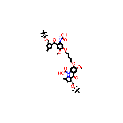 C=C1CC(C(=O)c2cc(OC)c(OCCCCCOc3cc(NC(=O)O)c(C(=O)C4CC(=C)C[C@H]4CO[Si](C)(C)C(C)(C)C)cc3OC)cc2NC(=O)O)[C@H](CO[Si](C)(C)C(C)(C)C)C1